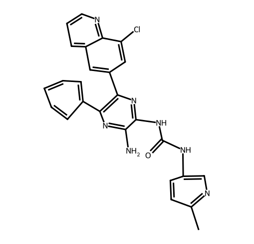 Cc1ccc(NC(=O)Nc2nc(-c3cc(Cl)c4ncccc4c3)c(-c3ccccc3)nc2N)cn1